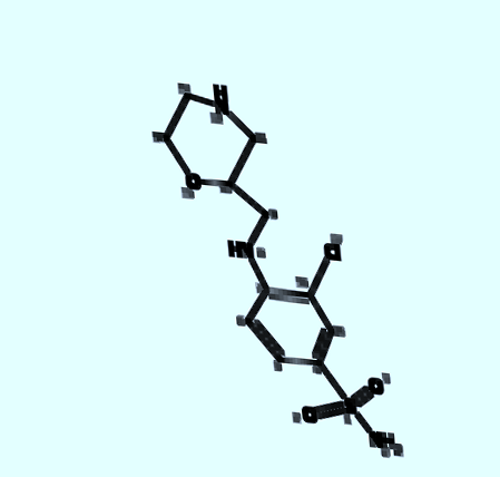 NS(=O)(=O)c1ccc(NCC2CNCCO2)c(Cl)c1